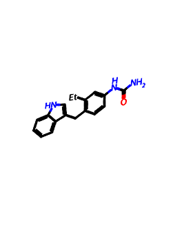 CCc1cc(NC(N)=O)ccc1Cc1c[nH]c2ccccc12